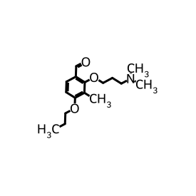 CCCOc1ccc(C=O)c(OCCCN(C)C)c1C